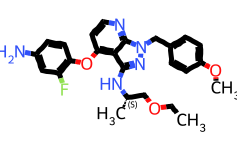 CCOC[C@H](C)Nc1nn(Cc2ccc(OC)cc2)c2nccc(Oc3ccc(N)cc3F)c12